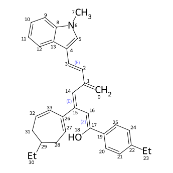 C=C(/C=C/c1cn(C)c2ccccc12)/C=C(\C=C(/O)c1ccc(CC)cc1)C1=CCC(CC)CC=C1